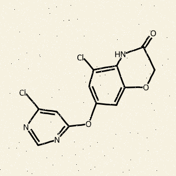 O=C1COc2cc(Oc3cc(Cl)ncn3)cc(Cl)c2N1